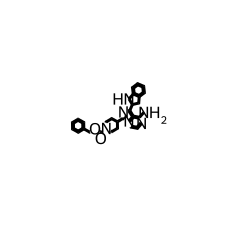 Nc1nccn2c(C3CCN(C(=O)OCc4ccccc4)CC3)nc(C3Cc4ccccc4N3)c12